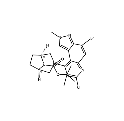 Cn1cc2c(n1)c(Br)cc1nc(Cl)nc(N3C[C@H]4CC[C@@H](C3)N4C(=O)OC(C)(C)C)c12